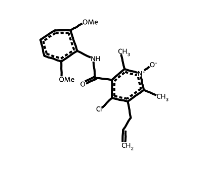 C=CCc1c(Cl)c(C(=O)Nc2c(OC)cccc2OC)c(C)[n+]([O-])c1C